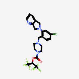 O=C(OC(C(F)(F)F)C(F)(F)F)N1CCN(Cc2ccc(Cl)cc2N2Cc3cccnc3C2)CC1